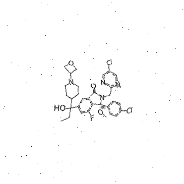 CCC(O)(c1cc(F)c2c(c1)C(=O)N(Cc1ncc(Cl)cn1)[C@@]2(OC)c1ccc(Cl)cc1)C1CCN(C2COC2)CC1